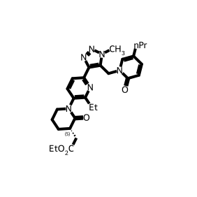 CCCc1ccc(=O)n(Cc2c(-c3ccc(N4CCC[C@@H](CC(=O)OCC)C4=O)c(CC)n3)nnn2C)c1